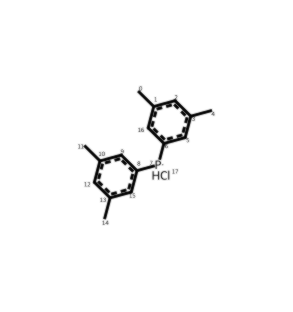 Cc1cc(C)cc([P]c2cc(C)cc(C)c2)c1.Cl